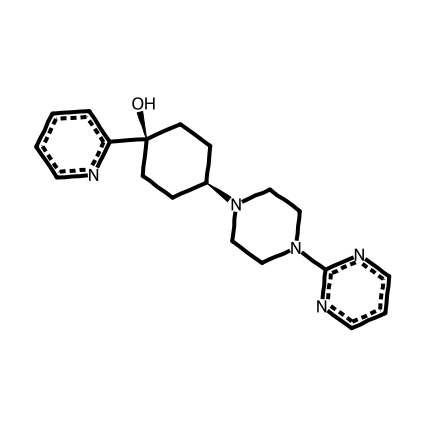 O[C@]1(c2ccccn2)CC[C@H](N2CCN(c3ncccn3)CC2)CC1